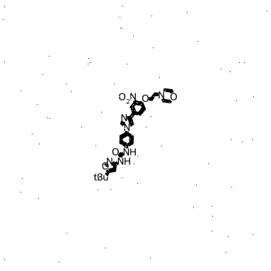 CC(C)(C)c1cc(NC(=O)Nc2ccc(-n3cnc(-c4ccc(OCCN5CCOCC5)c([N+](=O)[O-])c4)c3)cc2)no1